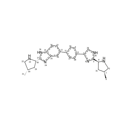 C[C@@H]1CN[C@H](c2nc(-c3ccc(-c4ccc5[nH]c([C@@H]6C[C@H](C)CN6)nc5c4)cc3)c[nH]2)C1